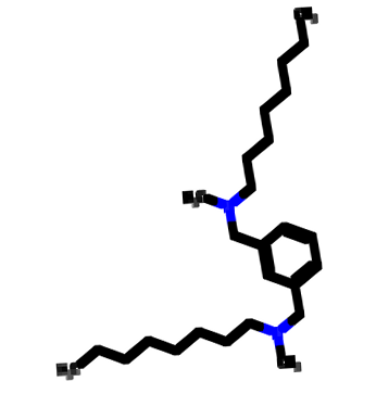 CCCCCCCCN(C)Cc1cccc(CN(C)CCCCCCCC)c1